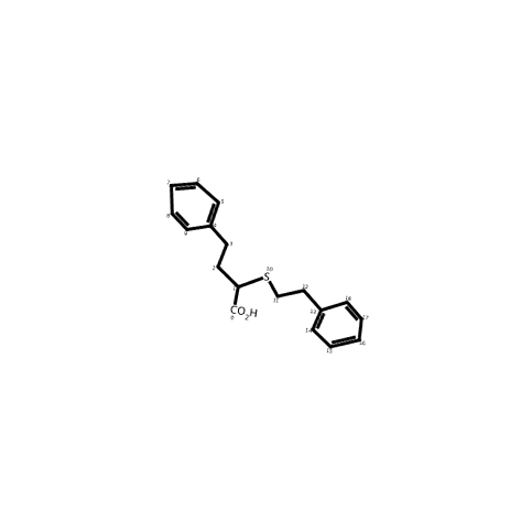 O=C(O)C(CCc1ccccc1)SCCc1ccccc1